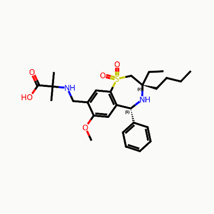 CCCC[C@]1(CC)CS(=O)(=O)c2cc(CNC(C)(C)C(=O)O)c(OC)cc2[C@@H](c2ccccc2)N1